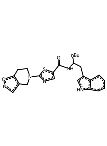 CCCCC(Cc1c[nH]c2ccccc12)NC(=O)c1cnc(N2CCc3oncc3C2)s1